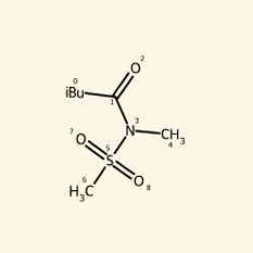 CCC(C)C(=O)N(C)S(C)(=O)=O